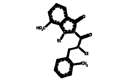 CCN(Cc1ccccc1C)C(=O)n1c(=O)c2cccc(C(=O)O)c2n1CC